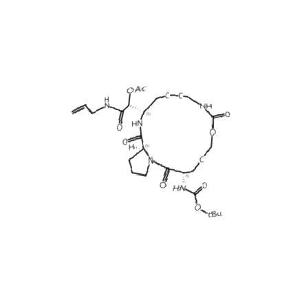 C=CCNC(=O)C(OC(C)=O)[C@@H]1CCCCNC(=O)OCCC[C@H](NC(=O)OC(C)(C)C)C(=O)N2CCC[C@H]2C(=O)N1